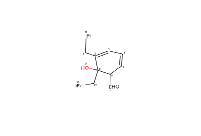 CC(C)CC1=CC=CC(C=O)C1(O)CC(C)C